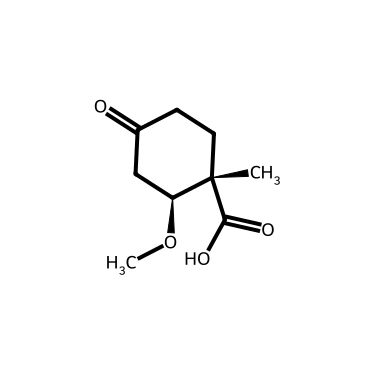 CO[C@H]1CC(=O)CC[C@]1(C)C(=O)O